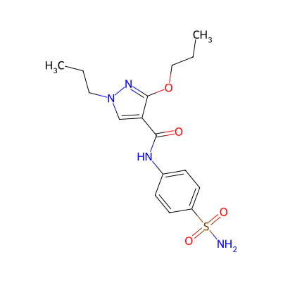 CCCOc1nn(CCC)cc1C(=O)Nc1ccc(S(N)(=O)=O)cc1